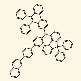 c1ccc(-c2c(-c3ccccc3)c3cc(N(c4ccc(-c5ccc(-c6ccc7ccccc7c6)cc5)cc4)c4cccc5c4-c4ccccc4C5(c4ccccc4)c4ccccc4)ccc3c3ccccc23)cc1